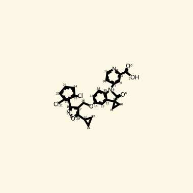 O=C(O)c1cc(N2C(=O)C3(CC3)c3cc(OCc4c(-c5c(Cl)cccc5Cl)noc4C4CC4)ccc32)ccn1